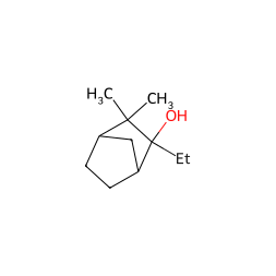 CCC1(O)C2CCC(C2)C1(C)C